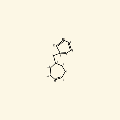 [C]1=CCCC(Cc2ccccc2)CC1